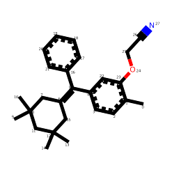 Cc1ccc(C(=C2CC(C)(C)CC(C)(C)C2)c2ccccc2)cc1OCC#N